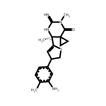 Cc1ccc(C2C=C([C@@]3(C)NC(=N)N(C)C(=O)C34CC4)SC2)cc1N